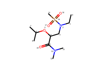 CCN(CC(OC(C)C)C(=O)N(C)C)S(C)(=O)=O